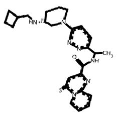 CC(NC(=O)c1cc(=S)n2ccccc2n1)c1ccc(N2CCC[C@@H](NCC3CCC3)C2)nn1